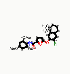 COc1cc(OC)c(NC(=O)c2ccc(Oc3cc4c(cc3Cl)CCC[Si]4(C)C)o2)c(OC)c1